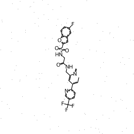 C=N/C(=C\C(=C/C)c1ccc(C(F)(F)F)cn1)CNC(=O)CNS(=O)(=O)c1cc2cc(F)ccc2o1